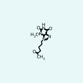 CC(=O)CCCCn1cnc2c(=O)[nH]c(=O)n(C)c21